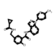 Cc1ccc(-n2ncc3c(NC(=O)c4cc(CNC(=O)C5CC5)ccc4Cl)cccc32)cn1